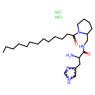 CCCCCCCCCCCCC(=O)N1CCCCC1CNC(=O)C(N)Cc1c[nH]cn1.Cl.Cl